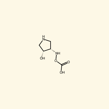 O=C(O)ON[C@H]1CNC[C@H]1O